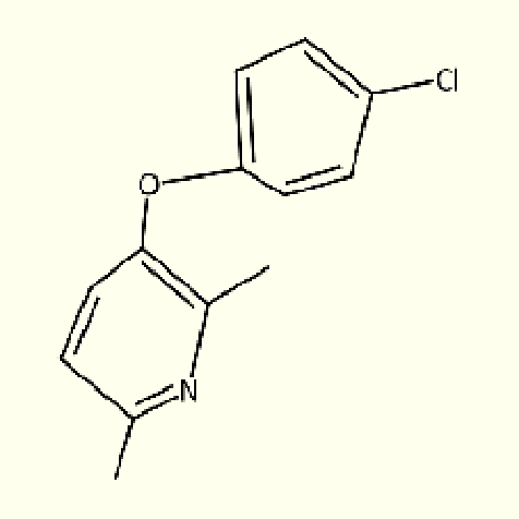 Cc1ccc(Oc2ccc(Cl)cc2)c(C)n1